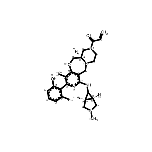 C=CC(=O)N1CCN2Cc3c(NC4[C@H]5CN(C)C[C@@H]45)nc(-c4c(O)cccc4F)c(Cl)c3OC[C@H]2C1